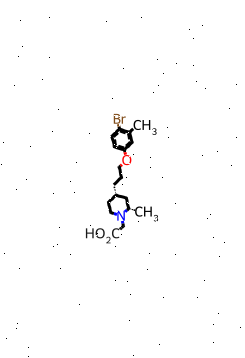 Cc1cc(OCCC[C@H]2CCN(CC(=O)O)[C@@H](C)C2)ccc1Br